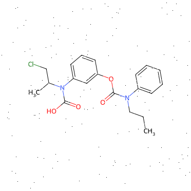 CCCN(C(=O)Oc1cccc(N(C(=O)O)C(C)CCl)c1)c1ccccc1